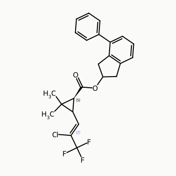 CC1(C)C(/C=C(\Cl)C(F)(F)F)[C@@H]1C(=O)OC1Cc2cccc(-c3ccccc3)c2C1